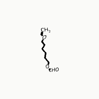 C=COCCCCCCOC=O